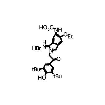 Br.CCOc1cc2c(cc1NC(=O)O)C(=N)N(CC(=O)c1cc(C(C)(C)C)c(O)c(C(C)(C)C)c1)C2